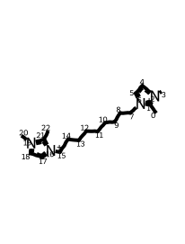 Cc1n(C)cc[n+]1CCCCCCCCC[n+]1ccn(C)c1C